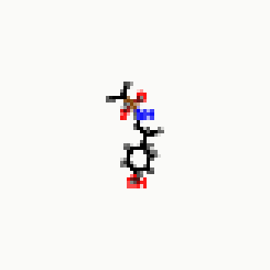 CC(CNS(=O)(=O)C(C)C)C1CCC(O)CC1